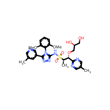 COc1cccc(OC)c1-n1c(NS(=O)(=O)[C@H](C)[C@H](OC[C@@H](O)CO)c2ncc(C)cn2)nnc1-c1cncc(C)c1